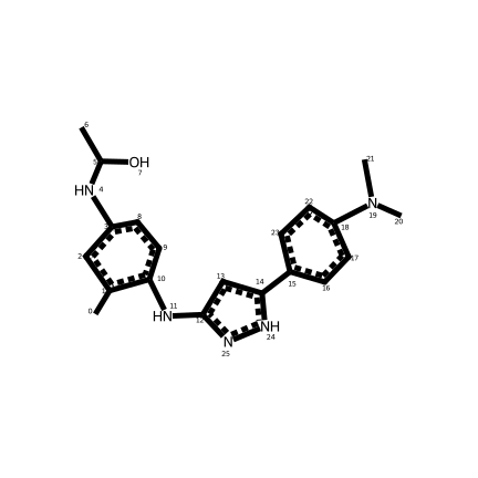 Cc1cc(NC(C)O)ccc1Nc1cc(-c2ccc(N(C)C)cc2)[nH]n1